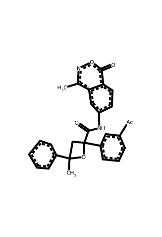 CC(=O)c1cccc(C2(C(=O)Nc3ccc4c(=O)onc(C)c4c3)CC(C)(c3ccccc3)O2)c1